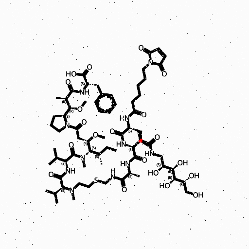 CC[C@H](C)[C@@H]([C@@H](CC(=O)N1CCC[C@H]1[C@H](OC)[C@@H](C)C(=O)N[C@@H](Cc1ccccc1)C(=O)O)OC)N(C)C(=O)[C@@H](NC(=O)[C@H](C(C)C)N(C)CCSCNC(=O)[C@H](C)NC(=O)[C@@H](NC(=O)[C@H](CCC(=O)NC[C@H](O)[C@@H](O)[C@H](O)[C@H](O)CO)NC(=O)CCCCCN1C(=O)C=CC1=O)C(C)C)C(C)C